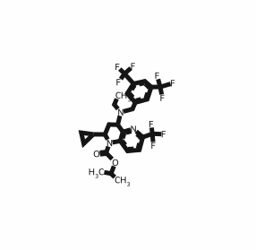 CCN(Cc1cc(C(F)(F)F)cc(C(F)(F)F)c1)C1CC(C2CC2)N(C(=O)OC(C)C)c2ccc(C(F)(F)F)nc21